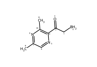 BCC(=O)c1ncc(C)nc1C